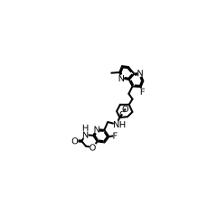 Cc1ccc2ncc(F)c(CCC34CCC(NCc5nc6c(cc5F)OCC(=O)N6)(CC3)CO4)c2n1